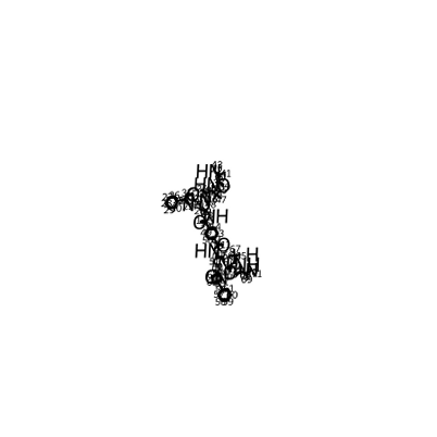 C=C(N[C@H](C(=O)N1C[C@@H](NC(=O)c2ccc(C(=O)N[C@H]3C[C@@H](c4nc(-c5ccccc5)co4)N(C(=C)[C@@H](NC(=O)[C@H](C)NC)C(C)(C)C)C3)cc2)C[C@H]1c1nc(-c2ccccc2)co1)C(C)(C)C)[C@H](C)NC